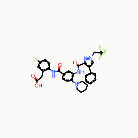 O=C(O)Cc1cc(F)ccc1NC(=O)c1ccc(N2CCCCC2)c(NC(=O)c2nn(CC(F)(F)F)cc2-c2ccccc2)c1